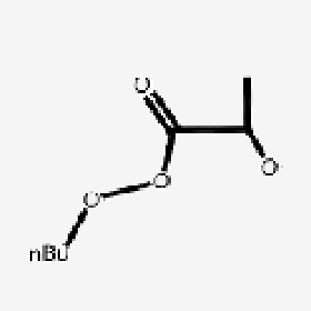 CCCCOOC(=O)C(C)[O]